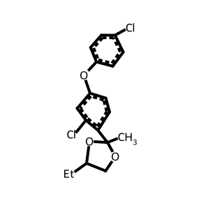 CCC1COC(C)(c2ccc(Oc3ccc(Cl)cc3)cc2Cl)O1